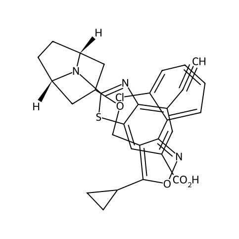 C#Cc1cc(C(=O)O)cc2sc(N3[C@@H]4CC[C@H]3CC(OCc3c(-c5ccccc5Cl)noc3C3CC3)C4)nc12